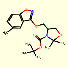 Cc1ccc2onc(OCC3COC(C)(C)N3C(=O)OC(C)(C)C)c2c1